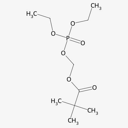 CCOP(=O)(OCC)OCOC(=O)C(C)(C)C